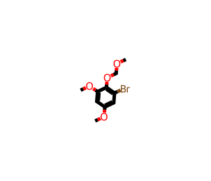 COCOc1c(Br)cc(OC)cc1OC